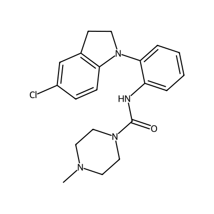 CN1CCN(C(=O)Nc2ccccc2N2CCc3cc(Cl)ccc32)CC1